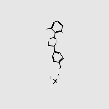 [2H]C([2H])([2H])SSCc1ccc(C2COC(c3c(F)cccc3F)=N2)cc1